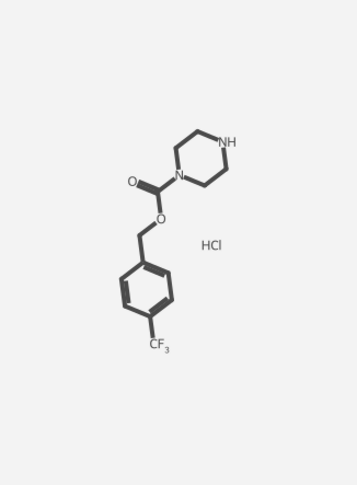 Cl.O=C(OCc1ccc(C(F)(F)F)cc1)N1CCNCC1